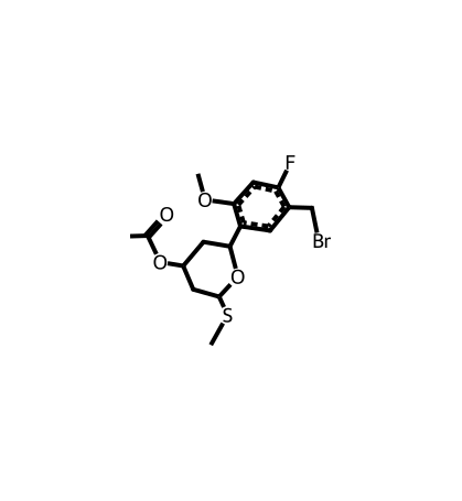 COc1cc(F)c(CBr)cc1C1CC(OC(C)=O)CC(SC)O1